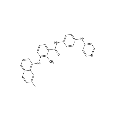 Cc1c(Nc2ccnc3ccc(F)cc23)cccc1C(=O)Nc1ccc(Nc2ccncc2)cc1